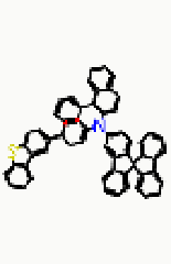 C1=CC(c2ccc3sc4ccccc4c3c2)CC=C1N(c1ccc2c(c1)-c1ccccc1C21c2ccccc2-c2ccccc21)C1C=Cc2ccccc2C1c1ccccc1